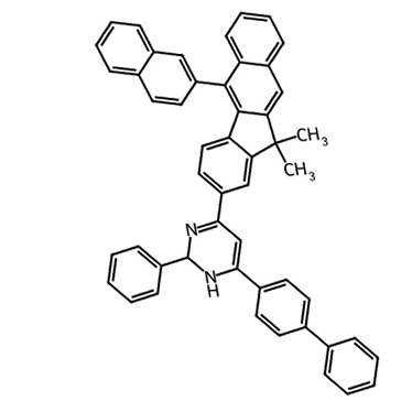 CC1(C)c2cc(C3=NC(c4ccccc4)NC(c4ccc(-c5ccccc5)cc4)=C3)ccc2-c2c1cc1ccccc1c2-c1ccc2ccccc2c1